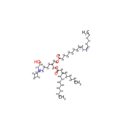 CCCCC/C=C\C/C=C\CCCCCCCC(=O)OCC(CCCCN(CCO)C1CCC1)COC(=O)CC(CCCCCC)CCCCCCCC